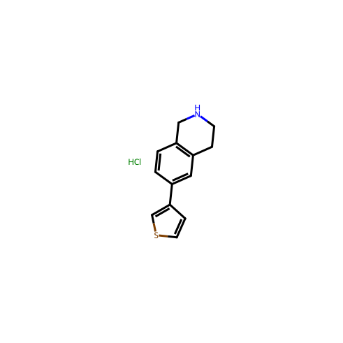 Cl.c1cc(-c2ccc3c(c2)CCNC3)cs1